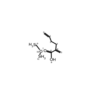 C=CCCC(=C)C(=O)O.[SiH3]O[SiH3]